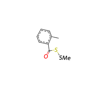 CSSC(=O)c1ccccc1C